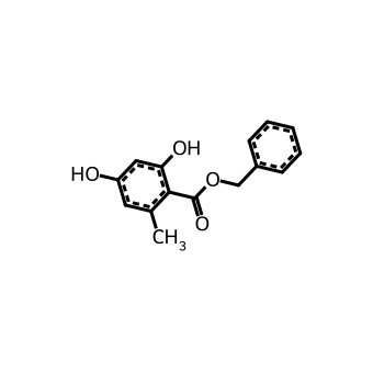 Cc1cc(O)cc(O)c1C(=O)OCc1ccccc1